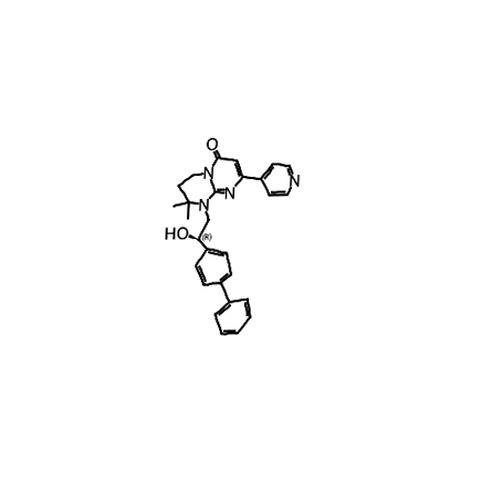 CC1(C)CCn2c(nc(-c3ccncc3)cc2=O)N1C[C@H](O)c1ccc(-c2ccccc2)cc1